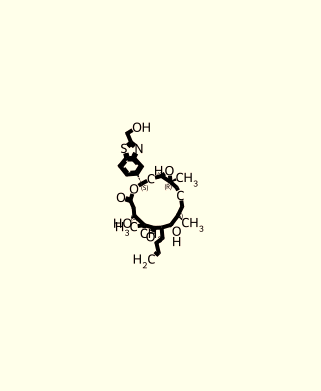 C=CCCC1C(=O)C(C)(C)[C@@H](O)CC(=O)O[C@H](c2ccc3sc(CO)nc3c2)C[C@@H]2O[C@]2(C)CCC[C@H](C)C1O